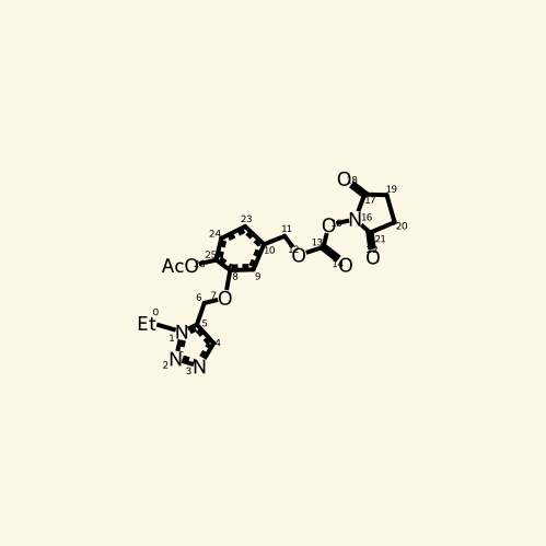 CCn1nncc1COc1cc(COC(=O)ON2C(=O)CCC2=O)ccc1OC(C)=O